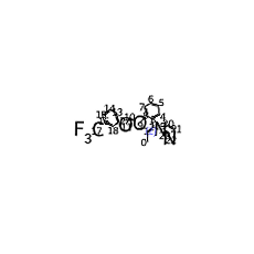 C/C=C(/c1ccccc1OCOc1cccc(C(F)(F)F)c1)n1ccnc1